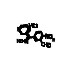 Cl.O=Cc1cc(C(=NO)c2cccnc2)ccc1[N+](=O)[O-]